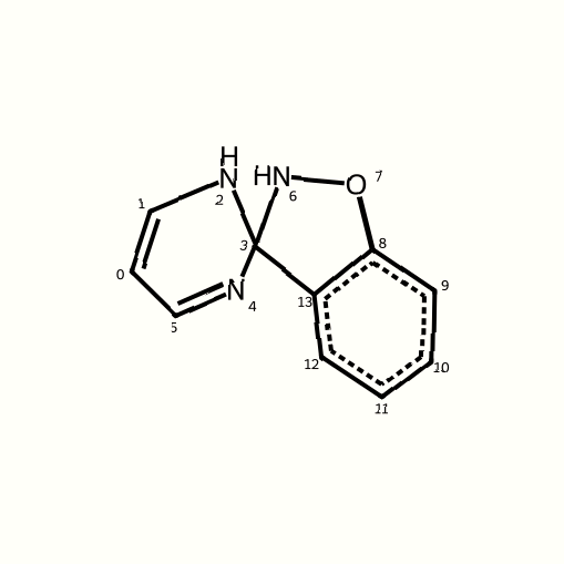 C1=CNC2(N=C1)NOc1ccccc12